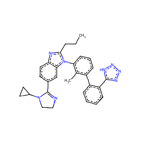 CCCc1nc2ccc(C3=NCCN3C3CC3)cc2n1-c1cccc(-c2ccccc2-c2nnn[nH]2)c1C